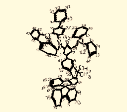 CC1(C)c2cc(-c3cc(N(c4ccccc4)c4ccccc4)cc(N(c4ccc(-c5ccccc5)cc4)c4cccc5c4oc4ccccc45)c3)ccc2-c2c1ccc1c2-c2ccccc2C12C1=CCCC=C1c1ccccc12